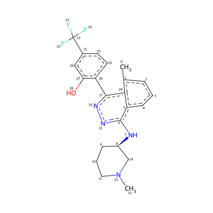 Cc1cccc2c(N[C@@H]3CCCN(C)C3)nnc(-c3ccc(C(F)(F)F)cc3O)c12